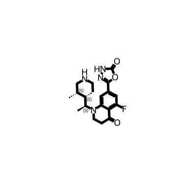 C[C@@H]1CNCC[C@@H]1[C@H](C)N1CCC(=O)c2c(F)cc(-c3n[nH]c(=O)o3)cc21